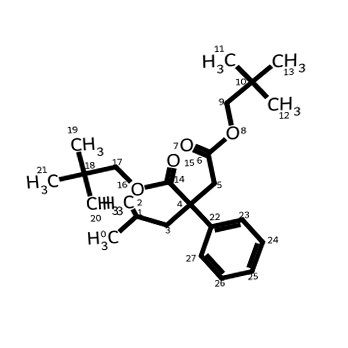 CC(C)CC(CC(=O)OCC(C)(C)C)(C(=O)OCC(C)(C)C)c1ccccc1